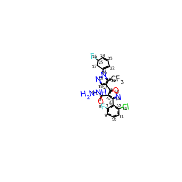 NNC(=O)c1c(-c2c(F)cccc2Cl)noc1-c1cnn(C2=CC=CC(F)C2)c1C(F)(F)F